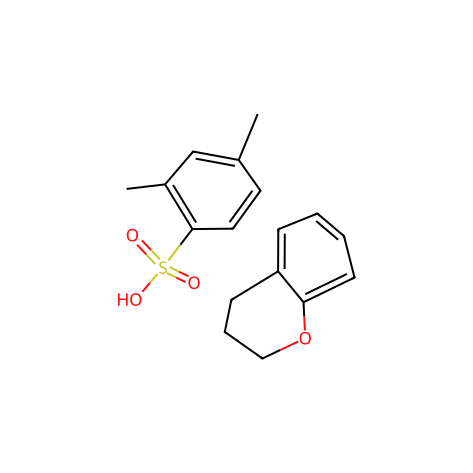 Cc1ccc(S(=O)(=O)O)c(C)c1.c1ccc2c(c1)CCCO2